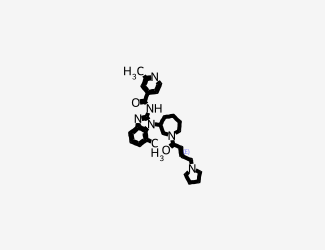 Cc1cc(C(=O)Nc2nc3cccc(C)c3n2C2CCCCN(C(=O)/C=C/CN3CCCC3)C2)ccn1